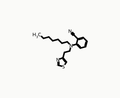 CCCCCCCN(CCc1cs[c]n1)c1ccccc1C#N